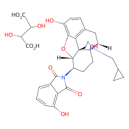 O=C(O)C(O)C(O)C(=O)O.O=C1c2cccc(O)c2C(=O)N1[C@@H]1CC[C@@]2(O)[C@H]3Cc4ccc(O)c5c4[C@@]2(CCN3CC2CC2)[C@H]1O5